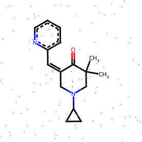 CC1(C)CN(C2CC2)C/C(=C/c2ccccn2)C1=O